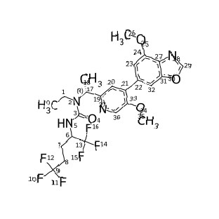 CCN(C(=O)NC(CCC(F)(F)F)C(F)(F)F)[C@H](C)c1cc(-c2cc(OC)c3ncoc3c2)c(OC)cn1